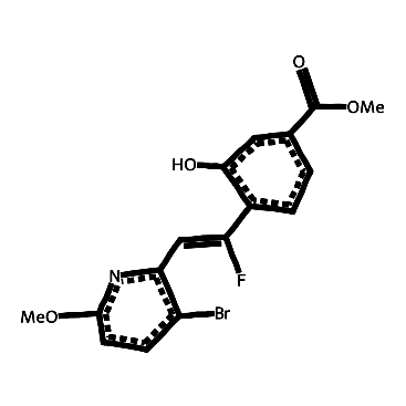 COC(=O)c1ccc(C(F)=Cc2nc(OC)ccc2Br)c(O)c1